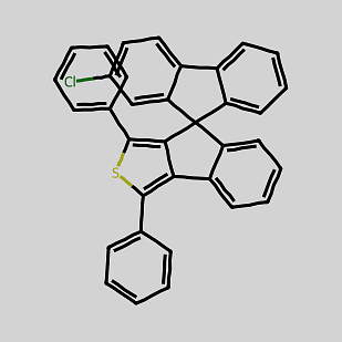 Clc1ccc2c(c1)C1(c3ccccc3-2)c2ccccc2-c2c(-c3ccccc3)sc(-c3ccccc3)c21